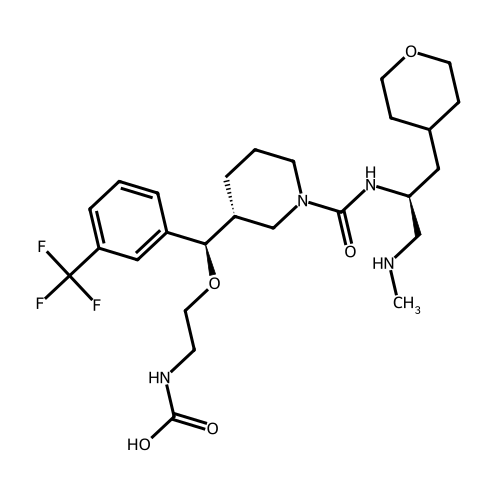 CNC[C@H](CC1CCOCC1)NC(=O)N1CCC[C@@H]([C@@H](OCCNC(=O)O)c2cccc(C(F)(F)F)c2)C1